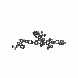 CC(C)c1ccccc1[C@@H]1CCCN1C1CC2(CCN(c3ccc(C(=O)NS(=O)(=O)c4cc5c(c([N+](=O)[O-])c4)N[C@@H]([C@H]4CC[C@](C)(O)CC4)CO5)c(Oc4cc5cc[nH]c5nc4OC(F)F)c3)CC2)C1